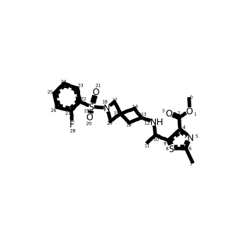 COC(=O)c1nc(C)sc1C(C)NC1CC2(C1)CN(S(=O)(=O)c1ccccc1F)C2